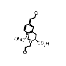 O=CNN(CCCl)[C@@H](Cc1cccc(CCCl)c1)C(=O)O